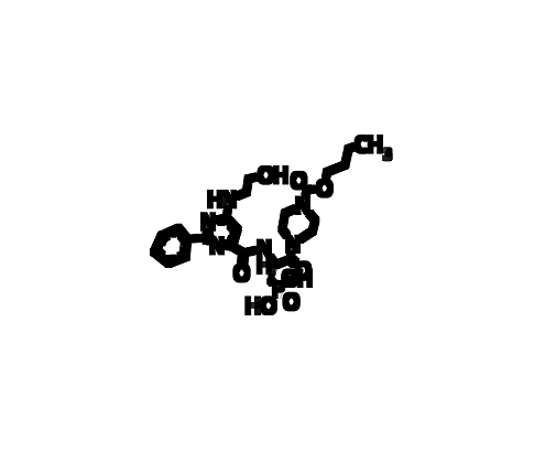 CCCCOC(=O)N1CCN(C(=O)[C@H](CP(=O)(O)O)NC(=O)c2cc(NCCO)nc(-c3ccccc3)n2)CC1